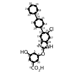 O=C(O)c1cc(O)cc(Oc2nc3cc(-c4ccc(-c5ccccc5)cc4)c(Cl)cc3[nH]2)c1